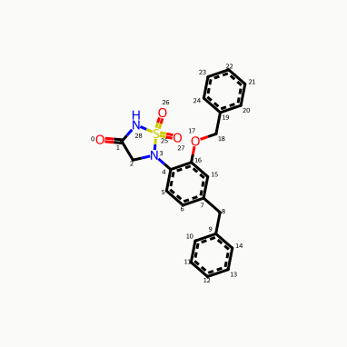 O=C1CN(c2ccc(Cc3ccccc3)cc2OCc2ccccc2)S(=O)(=O)N1